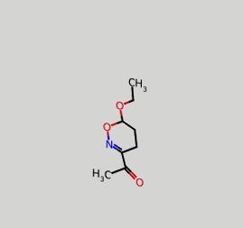 CCOC1CCC(C(C)=O)=NO1